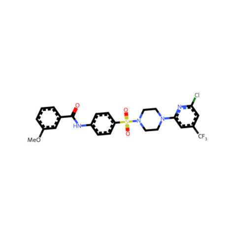 COc1cccc(C(=O)Nc2ccc(S(=O)(=O)N3CCN(c4cc(C(F)(F)F)cc(Cl)n4)CC3)cc2)c1